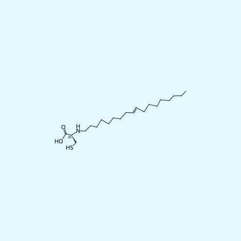 CCCCCCCCC=CCCCCCCCCN[C@@H](CS)C(=O)O